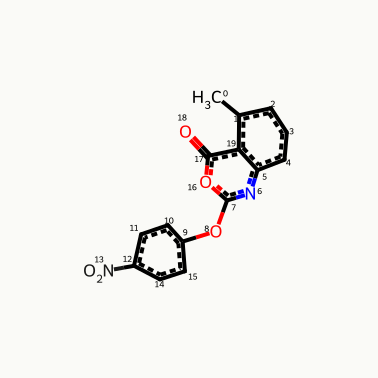 Cc1cccc2nc(Oc3ccc([N+](=O)[O-])cc3)oc(=O)c12